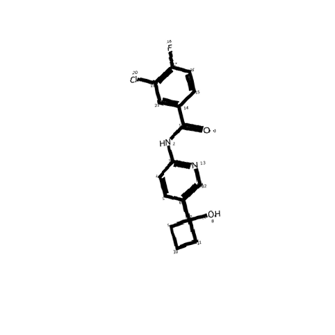 O=C(Nc1ccc(C2(O)CCC2)cn1)c1ccc(F)c(Cl)c1